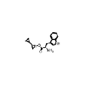 N[C@@H](Cc1c[nH]c2ccccc12)C(=O)ON1CC1C1CC1